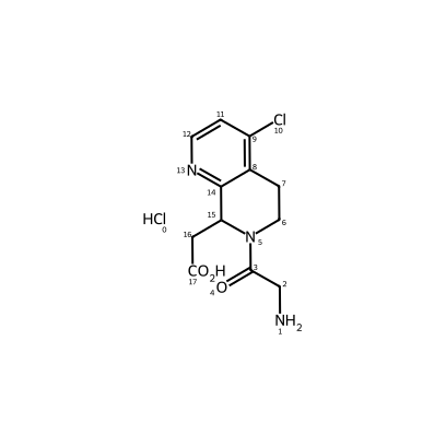 Cl.NCC(=O)N1CCc2c(Cl)ccnc2C1CC(=O)O